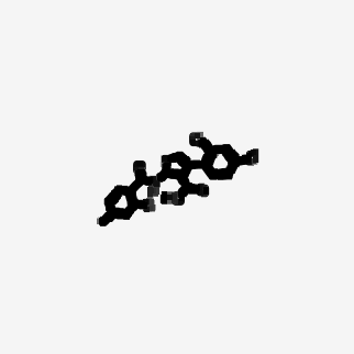 Cc1ccc(C(=O)Nc2scc(-c3ccc(Cl)cc3Cl)c2C(=O)O)c(Cl)c1